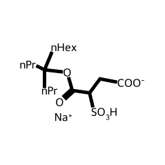 CCCCCCC(CCC)(CCC)OC(=O)C(CC(=O)[O-])S(=O)(=O)O.[Na+]